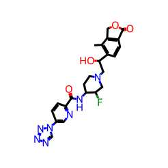 Cc1c(C(O)CN2CCC(NC(=O)c3ccc(-n4cnnn4)cn3)C(F)C2)ccc2c1COC2=O